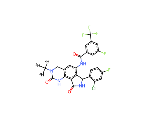 [2H]C([2H])([2H])N1Cc2cc(NC(=O)c3cc(F)cc(C(F)(F)F)c3)c3c(c2NC1=O)C(=O)NC3c1ccc(F)cc1Cl